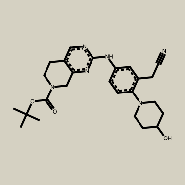 CC(C)(C)OC(=O)N1CCc2cnc(Nc3ccc(N4CCC(O)CC4)c(CC#N)c3)nc2C1